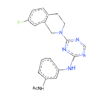 CC(=O)Nc1cccc(Nc2ncnc(N3CCc4ccc(F)cc4C3)n2)c1